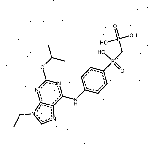 CCn1cnc2c(Nc3ccc(P(=O)(O)CP(=O)(O)O)cc3)nc(OC(C)C)nc21